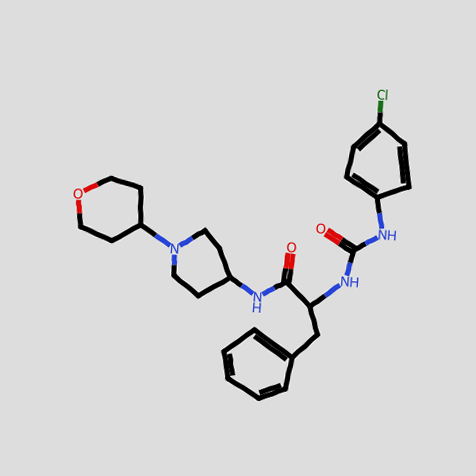 O=C(Nc1ccc(Cl)cc1)NC(Cc1ccccc1)C(=O)NC1CCN(C2CCOCC2)CC1